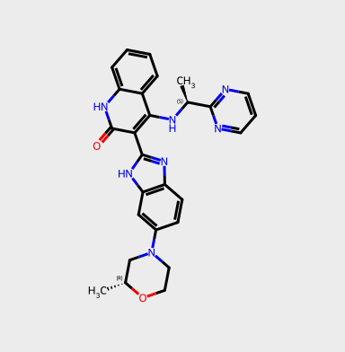 C[C@@H]1CN(c2ccc3nc(-c4c(N[C@@H](C)c5ncccn5)c5ccccc5[nH]c4=O)[nH]c3c2)CCO1